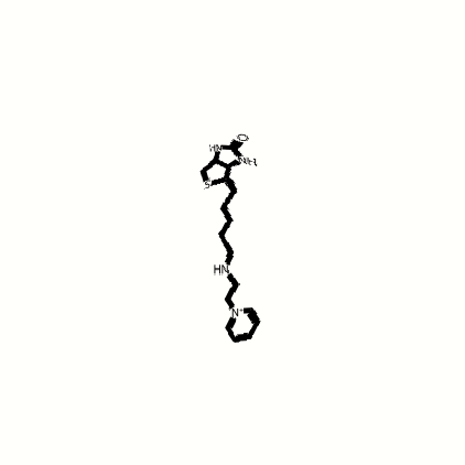 O=C1NC2CSC(CCCCCNCC[n+]3ccccc3)C2N1